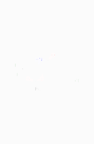 Cc1cc(Cl)cc(C)c1C1=C(OC(=O)C(C)(C)C)C2(CCC(F)(F)CC2)NC1=O